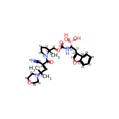 CC(C)(C=C(C#N)C(=O)N1CCC[C@]1(C)COC(=O)NC(Cc1coc2ccccc12)B(O)O)N1CCOCC1